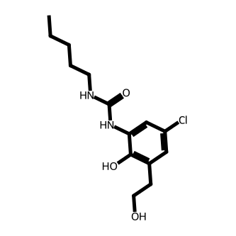 CCCCCNC(=O)Nc1cc(Cl)cc(CCO)c1O